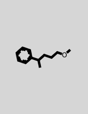 COCCCC(C)c1ccccc1